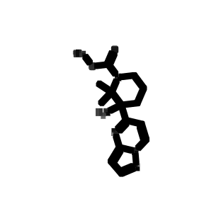 CC(C)(C)OC(=O)N1CCCC(N)(c2ccn3nccc3n2)C1(C)C